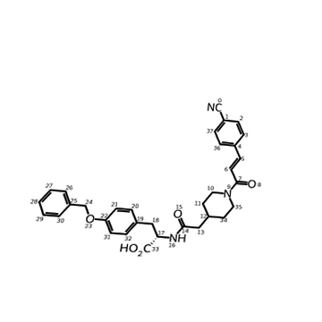 N#Cc1ccc(/C=C/C(=O)N2CCC(CC(=O)N[C@@H](Cc3ccc(OCc4ccccc4)cc3)C(=O)O)CC2)cc1